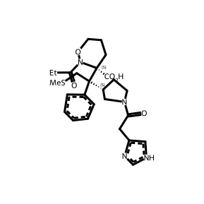 CCC(=O)N1OCCC[C@@]1(C(=O)O)C(CSC)(c1ccccc1)[C@@H]1CCN(C(=O)Cc2c[nH]cn2)C1